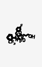 Cn1c(=O)n(CCCO)c(=O)c2c1nc(-c1ccccc1C(F)(F)F)n2Cc1ccc(F)cc1